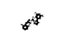 O=C(N1CC(=Cc2c(F)cccc2F)C1)N1N=CCC1c1cc(F)cc(F)c1